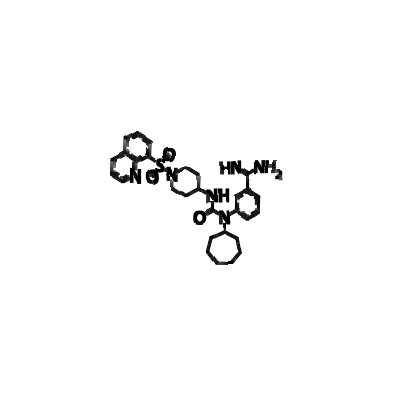 N=C(N)c1cccc(N(C(=O)NC2CCN(S(=O)(=O)c3cccc4cccnc34)CC2)C2CCCCCC2)c1